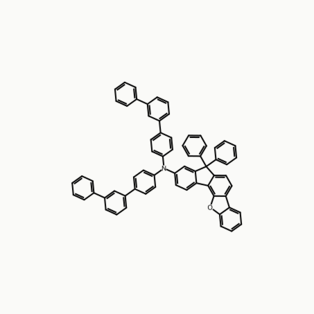 c1ccc(-c2cccc(-c3ccc(N(c4ccc(-c5cccc(-c6ccccc6)c5)cc4)c4ccc5c(c4)C(c4ccccc4)(c4ccccc4)c4ccc6c(oc7ccccc76)c4-5)cc3)c2)cc1